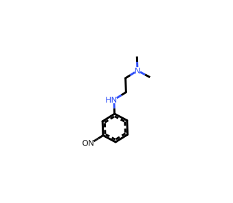 CN(C)CCNc1cccc(N=O)c1